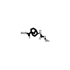 CNC(=S)C12CCC(C1)[C@@H](NC(=O)OC(C)(C)C)CC2